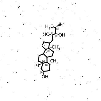 CC(C)[C@H](C)[C@@H](O)[C@H](O)CC1CCC2C3CC[C@H]4C[C@@H](O)CC[C@]4(C)C3CC[C@]12C